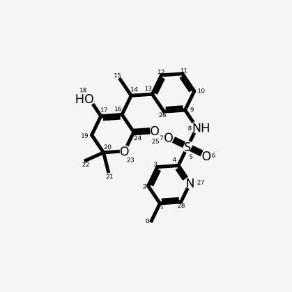 Cc1ccc(S(=O)(=O)Nc2cccc(C(C)C3=C(O)CC(C)(C)OC3=O)c2)nc1